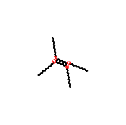 CCCCCCCCCCCCOc1cc2cc3cc(OCCCCCCCCCCCC)c(OCCCCCCCCCCCC)cc3cc2cc1OCCCCCCCCCCCC